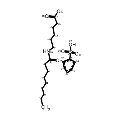 CCCCCCCCC(=O)NCCCCCC([O])=O.O=S(=O)(O)c1ccccc1